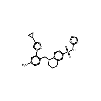 Cc1ccc(O[C@@H]2CCOc3cc(S(=O)(=O)Nc4nccs4)ccc32)c(-n2cc(C3CC3)nn2)c1